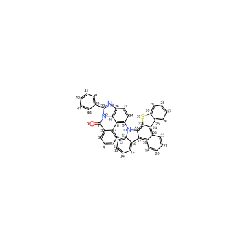 O=c1c2ccccc2c2c(-n3c4ccccc4c4c5ccccc5c5c6ccccc6sc5c43)ccc3nc(-c4ccccc4)n1c32